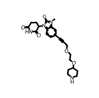 Cn1c(=O)n(C2CCC(=O)NC2=O)c2ccc(C#CCOCCOC3CCNCC3)cc21